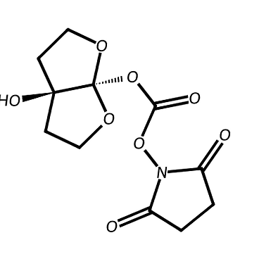 O=C(ON1C(=O)CCC1=O)O[C@]12OCC[C@]1(O)CCO2